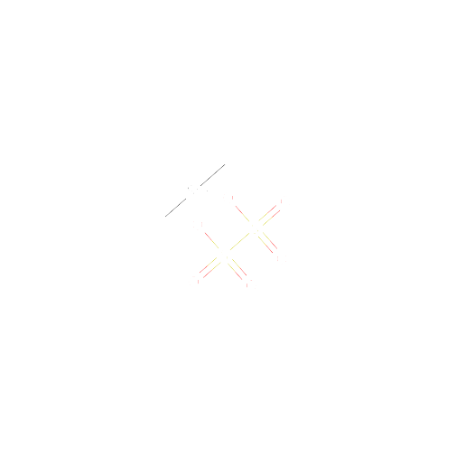 O=S(=O)([O-])S(=O)(=O)[O-].[CH3][Sn+2][CH3]